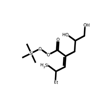 CCC([SiH3])C=C(CC(O)CO)C(=O)OO[Si](C)(C)C